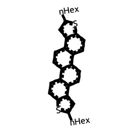 CCCCCCc1cc2c(ccc3c2ccc2c4ccc5sc(CCCCCC)cc5c4ccc32)s1